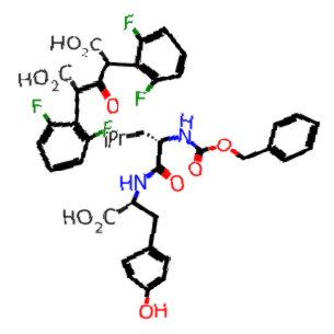 CC(C)C[C@H](NC(=O)OCc1ccccc1)C(=O)N[C@@H](Cc1ccc(O)cc1)C(=O)O.O=C(O)C(C(=O)C(C(=O)O)c1c(F)cccc1F)c1c(F)cccc1F